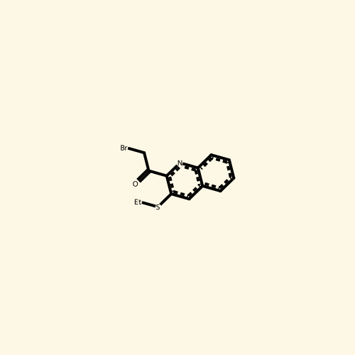 CCSc1cc2ccccc2nc1C(=O)CBr